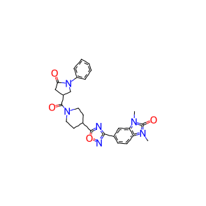 Cn1c(=O)n(C)c2cc(-c3noc(C4CCN(C(=O)C5CC(=O)N(c6ccccc6)C5)CC4)n3)ccc21